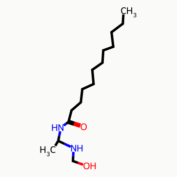 CCCCCCCCCCCC(=O)NC(C)NCO